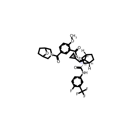 COc1ccc(C(=O)N2CC3CCC(C2)O3)cc1C(=O)N[C@H]1[C@@H](C(=O)Nc2ccc(F)c(C(F)(F)F)c2)[C@H]2CC[C@@H]1/C2=C\C1CC1